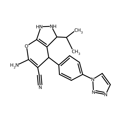 CC(C)C1NNC2=C1C(c1ccc(-n3ccnn3)cc1)C(C#N)=C(N)O2